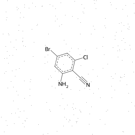 N#Cc1c(N)cc(Br)cc1Cl